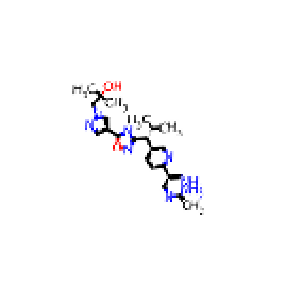 C=C(N)/N=C\C(=C/N)c1ccc([C@H](c2noc(-c3cnn(CC(C)(C)O)c3)n2)C(C)C)cn1